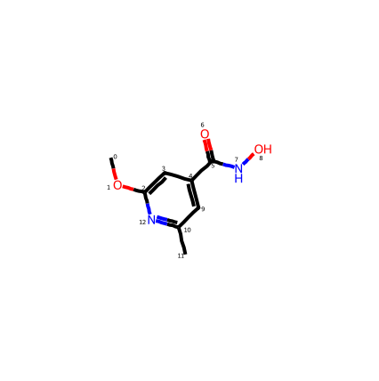 COc1cc(C(=O)NO)cc(C)n1